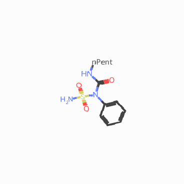 CCCCCNC(=O)N(c1ccccc1)S(N)(=O)=O